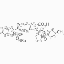 Cc1ccc(S(=O)(=O)N2CCC[C@H]2C(=O)N[C@@H](Cc2ccc(NC(=O)[C@@H]3Cc4ccccc4CN3C(=O)OC(C)(C)C)cc2)C(=O)O)cc1